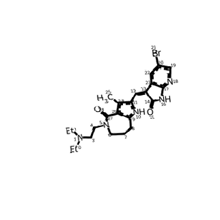 CCN(CC)CCN1CCCc2[nH]c(C=C3C(=O)Nc4ncc(Br)cc43)c(C)c2C1=O